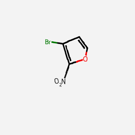 O=[N+]([O-])c1occc1Br